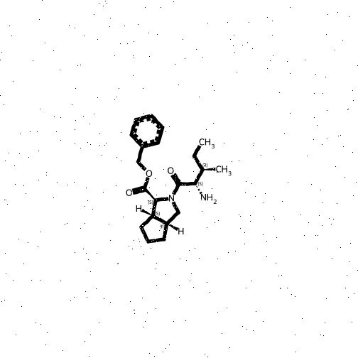 CC[C@@H](C)[C@H](N)C(=O)N1C[C@@H]2CCC[C@@H]2[C@H]1C(=O)OCc1ccccc1